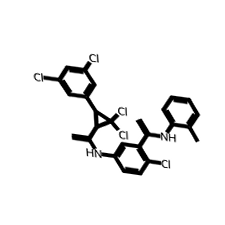 C=C(Nc1ccccc1C)c1cc(NC(=C)C2C(c3cc(Cl)cc(Cl)c3)C2(Cl)Cl)ccc1Cl